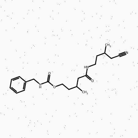 CC(CC#N)CCNC(=O)CC(C)CCOC(=O)NCc1ccccc1